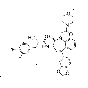 C[C@@H](Cc1ccc(F)c(F)c1)C(=O)NC1N=C(c2ccc3c(c2)OCO3)c2ccccc2N(CC(=O)N2CCOCC2)C1=O